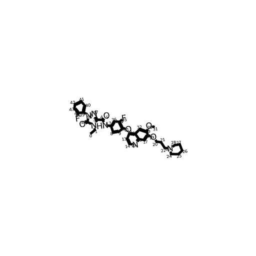 CCn1c(C(=O)Nc2ccc(Oc3ccnc4cc(OCCCN5CCCCC5)c(OC)cc34)c(F)c2)nn(-c2ccccc2F)c1=O